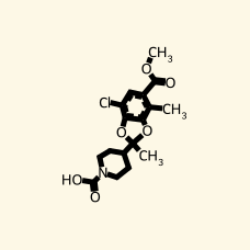 COC(=O)c1cc(Cl)c2c(c1C)OC(C)(C1CCN(C(=O)O)CC1)O2